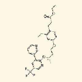 CCOC(=O)CCc1ccc(OCC[C@H](C)Oc2ncc(C(F)(F)F)cc2-c2cccnc2)cc1CC